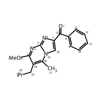 COc1nc2nc(C(=O)c3ccccc3)cn2c(C)c1CC(C)C